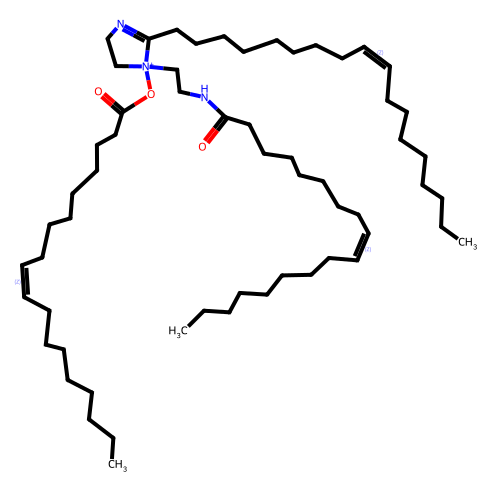 CCCCCCCC/C=C\CCCCCCCCC1=NCC[N+]1(CCNC(=O)CCCCCCC/C=C\CCCCCCCC)OC(=O)CCCCCCC/C=C\CCCCCCCC